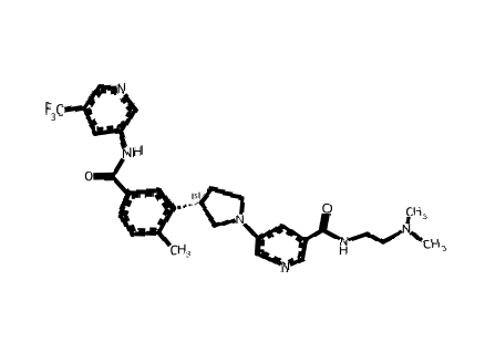 Cc1ccc(C(=O)Nc2cncc(C(F)(F)F)c2)cc1[C@@H]1CCN(c2cncc(C(=O)NCCN(C)C)c2)C1